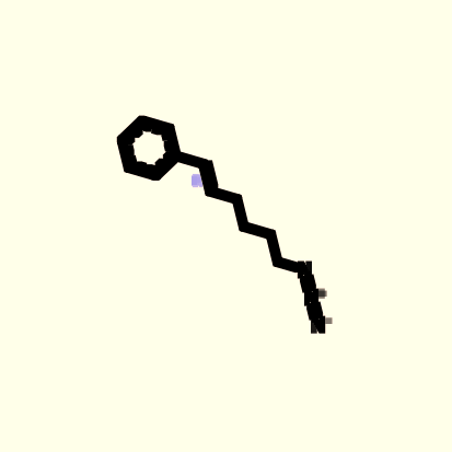 [N-]=[N+]=NCCCC/C=C/c1ccccc1